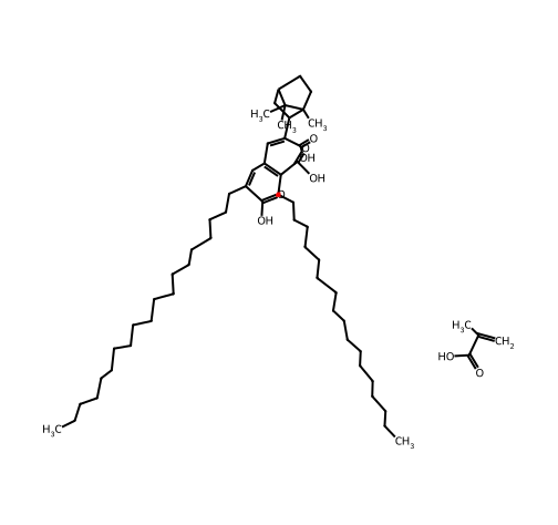 C=C(C)C(=O)O.CCCCCCCCCCCCCCCCCCCC(=CC(C=C(C(=O)O)C1CC2CCC1(C)C2(C)C)=C(CCCCCCCCCCCCCCCCCC)C(=O)O)C(=O)O